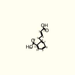 O=C(O)/C=C/Cc1ccccc1C(=O)O